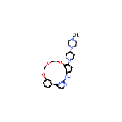 CN1CCN(C2CCN(c3ccc4cc3OCCOCCOc3cccc(c3)-c3ccnc(n3)N4)CC2)CC1